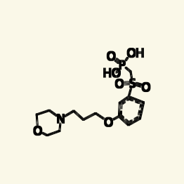 O=P(O)(O)CS(=O)(=O)c1cccc(OCCCN2CCOCC2)c1